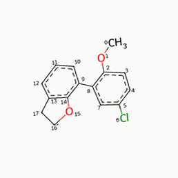 COc1ccc(Cl)cc1-c1cccc2c1O[CH]C2